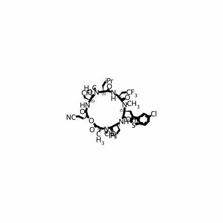 CC(C)C[C@@H]1NC(O)[C@H](Cc2csc3ccc(Cl)cc23)N(C)C(=O)[C@H](CC(F)(F)F)NC(=O)[C@H](CC(C)C)N(C)C(=O)[C@H](CC(F)(F)F)NC(=O)[C@@H](CCC#N)OC(=O)[C@H](C)N(C)C1=O